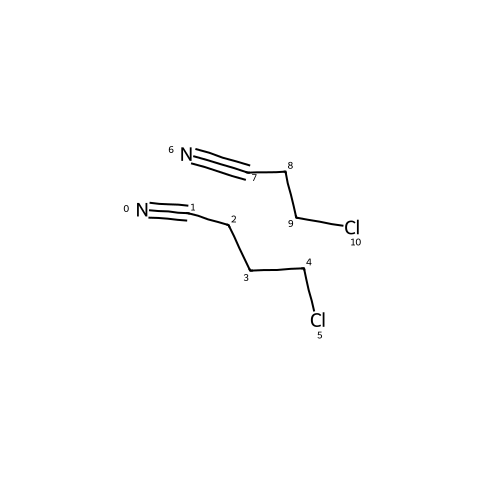 N#CCCCCl.N#CCCCl